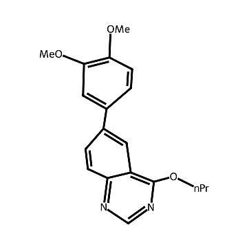 CCCOc1ncnc2ccc(-c3ccc(OC)c(OC)c3)cc12